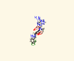 Nc1ncnc2c1cnn2CC(=O)N(CC(=O)NCc1cccc(Cl)c1F)C1CC1